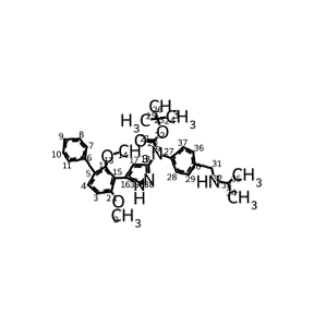 COc1ccc(-c2ccccc2)c(OC)c1-c1cc(N(C(=O)OC(C)(C)C)c2ccc(CNC(C)C)cc2)n[nH]1